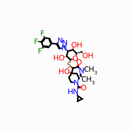 CCN(C)C(=O)C(S[C@@H]1O[C@H](CO)[C@H](O)[C@H](n2cc(-c3cc(F)c(F)c(F)c3)nn2)[C@H]1O)C1(O)CCN(C(=O)NC2CC2)CC1